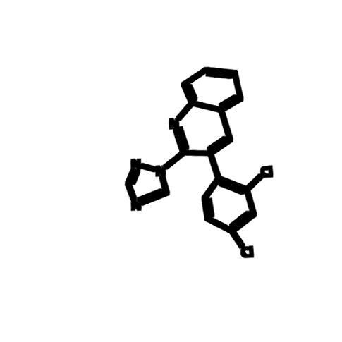 Clc1ccc(-c2cc3ccccc3nc2-n2cncn2)c(Cl)c1